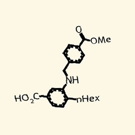 CCCCCCc1ccc(C(=O)O)cc1NCc1ccc(C(=O)OC)cc1